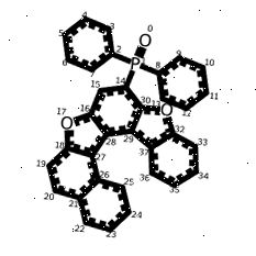 O=P(c1ccccc1)(c1ccccc1)c1cc2oc3ccc4ccccc4c3c2c2c1oc1ccccc12